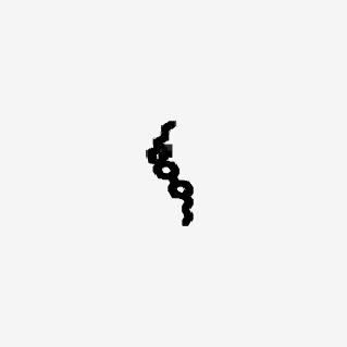 CCCCC/C=C\C1(C#N)CCC(C2CCC(CCCC)CC2)CC1